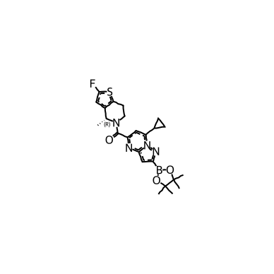 C[C@@H]1c2cc(F)sc2CCN1C(=O)c1cc(C2CC2)n2nc(B3OC(C)(C)C(C)(C)O3)cc2n1